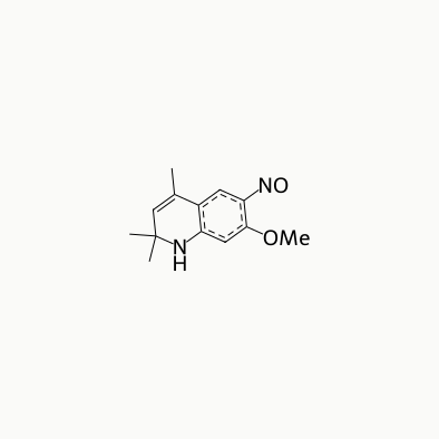 COc1cc2c(cc1N=O)C(C)=CC(C)(C)N2